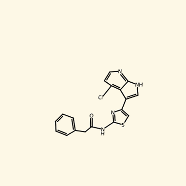 O=C(Cc1ccccc1)Nc1nc(-c2c[nH]c3nccc(Cl)c23)cs1